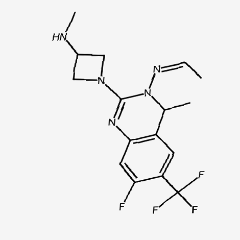 C/C=N\N1C(N2CC(NC)C2)=Nc2cc(F)c(C(F)(F)F)cc2C1C